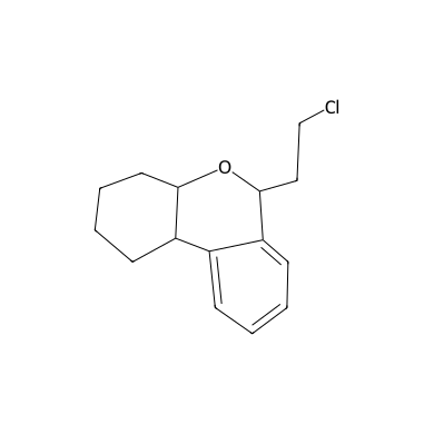 ClCCC1OC2CCCCC2c2ccccc21